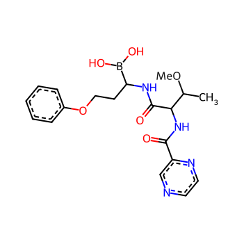 COC(C)C(NC(=O)c1cnccn1)C(=O)NC(CCOc1ccccc1)B(O)O